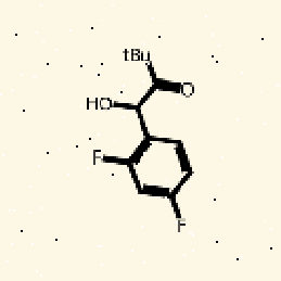 CC(C)(C)C(=O)C(O)c1ccc(F)cc1F